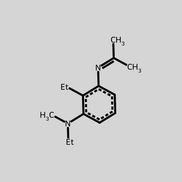 CCc1c(N=C(C)C)cccc1N(C)CC